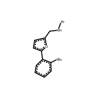 CC(C)NCc1ccc(-c2ccccc2C(C)(C)C)o1